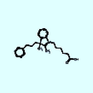 CC1=[N+](CCCCCC(=O)O)c2ccccc2C1(C)CCCc1ccccc1